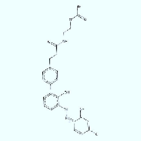 CC(C)C(=O)OCCNC(=O)CCc1ccc(-c2cccc(N/N=C3/C=CC(Cl)=CC3=N)c2O)cc1